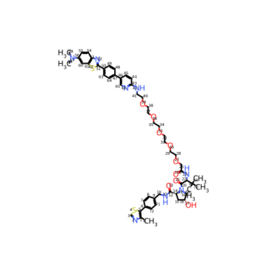 Cc1ncsc1-c1ccc(CNC(=O)[C@@H]2C[C@@H](O)CN2C(=O)[C@@H](NC(=O)COCCOCCOCCOCCOCCNc2ccc(-c3ccc(-c4nc5ccc(N(C)C)cc5s4)cc3)cn2)C(C)(C)C)cc1